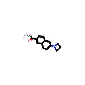 O=C(O)C(=O)c1ccc2cc(N3CCC3)ccc2c1